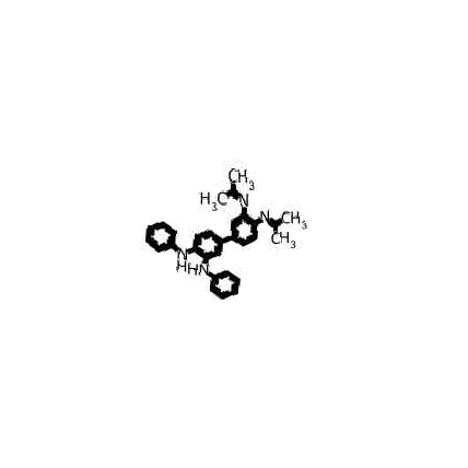 CC(C)=Nc1ccc(-c2ccc(Nc3ccccc3)c(Nc3ccccc3)c2)cc1N=C(C)C